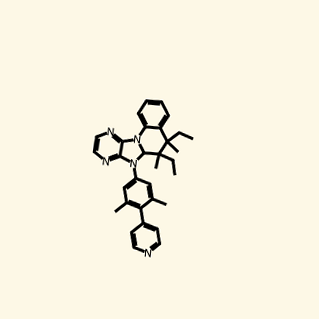 CCC1(C)c2ccccc2N2c3nccnc3N(c3cc(C)c(-c4ccncc4)c(C)c3)C2C1(C)CC